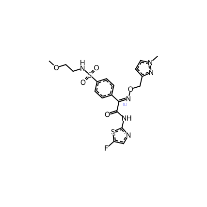 COCCNS(=O)(=O)c1ccc(/C(=N\OCc2ccn(C)n2)C(=O)Nc2ncc(F)s2)cc1